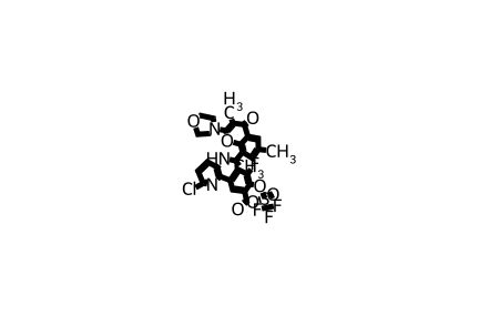 Cc1cc(C(C)Nc2ccc(Cl)nc2-c2cc(F)c(OS(=O)(=O)C(F)(F)F)c(C=O)c2)c2oc(N3CCOCC3)c(C)c(=O)c2c1